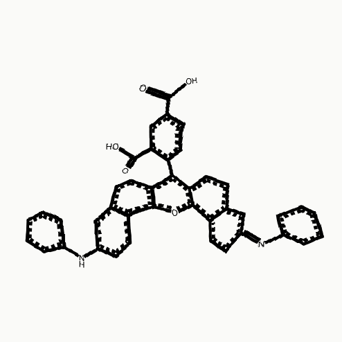 O=C(O)c1ccc(-c2c3ccc4cc(Nc5ccccc5)ccc4c3oc3c2ccc2c/c(=N\c4ccccc4)ccc23)c(C(=O)O)c1